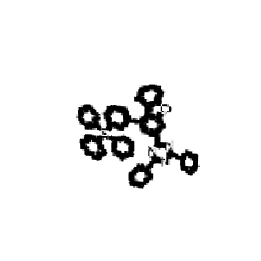 c1ccc(-c2nc(-c3ccccc3)nc(-c3cc(-c4cccc(S(c5ccccc5)(c5ccccc5)c5ccccc5)c4)c4c(c3)oc3ccccc34)n2)cc1